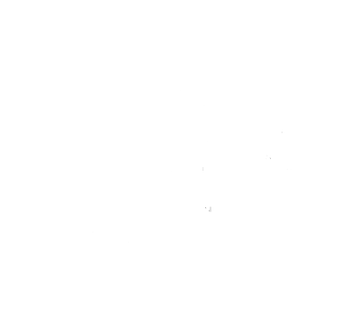 C=CCOC(=O)C(CCN1C(=O)CSC1=O)NS(=O)(=O)c1ccc(Oc2ccccc2)cc1